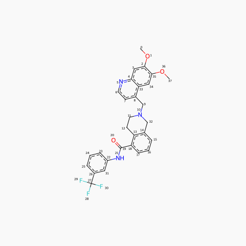 COc1cc2nccc(CN3CCc4c(cccc4C(=O)Nc4cccc(C(F)(F)F)c4)C3)c2cc1OC